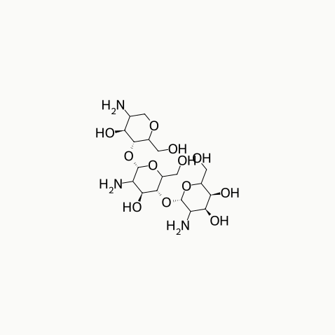 NC1[C@H](O[C@H]2C(CO)O[C@@H](O[C@H]3C(CO)OCC(N)[C@@H]3O)C(N)[C@@H]2O)OC(CO)[C@@H](O)[C@H]1O